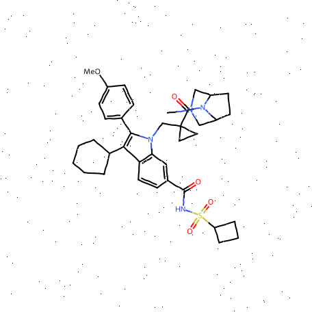 COc1ccc(-c2c(C3CCCCC3)c3ccc(C(=O)NS(=O)(=O)C4CCC4)cc3n2CC2(C(=O)N3C4CCC3CN(C)C4)CC2)cc1